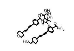 CC(O)(C(F)F)[C@H](NC(=O)c1ccc(C#CC#CC2CCOCC2)cc1)C(=O)NO.NC(=O)c1ccc(C#CC#CC2CCC(CO)CC2)cc1